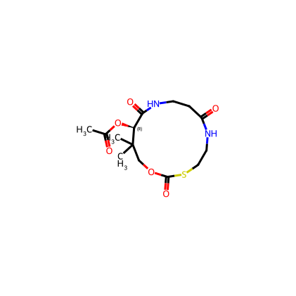 CC(=O)O[C@H]1C(=O)NCCC(=O)NCCSC(=O)OCC1(C)C